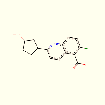 O=C(O)c1c(Cl)ccc2nc(C3CCC(O)C3)ccc12